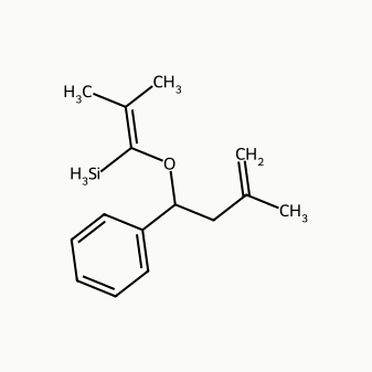 C=C(C)CC(OC([SiH3])=C(C)C)c1ccccc1